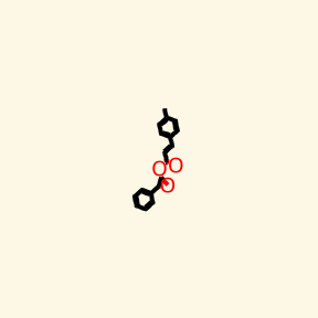 Cc1ccc(C=CC(=O)OC2OC2c2ccccc2)cc1